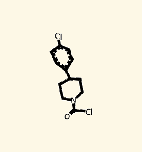 O=C(Cl)N1CCC(c2ccc(Cl)cc2)CC1